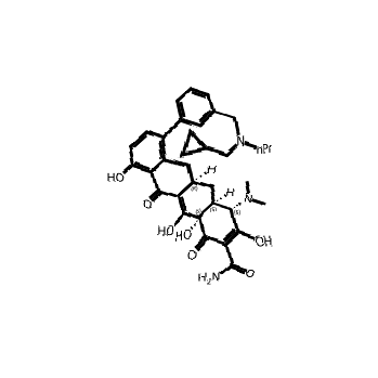 CCCN(Cc1cccc(-c2ccc(O)c3c2C[C@H]2C[C@H]4[C@H](N(C)C)C(O)=C(C(N)=O)C(=O)[C@@]4(O)C(O)=C2C3=O)c1)CC1CC1